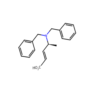 C[C@@H](C=CC(=O)O)N(Cc1ccccc1)Cc1ccccc1